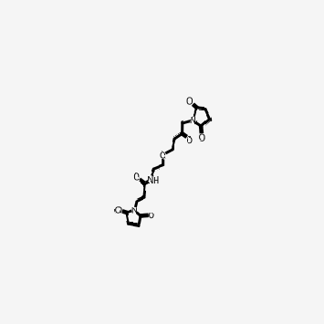 O=C(CCOCCNC(=O)CCN1C(=O)C=CC1=O)CN1C(=O)CCC1=O